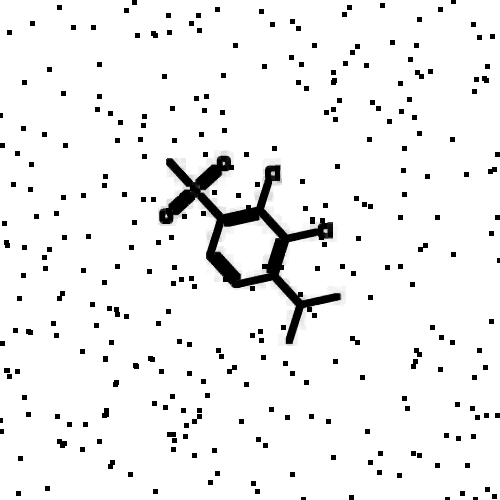 CC(C)c1ccc(S(C)(=O)=O)c(Cl)c1Cl